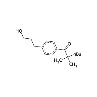 CCCCC(C)(C)C(=O)c1ccc(CCCO)cc1